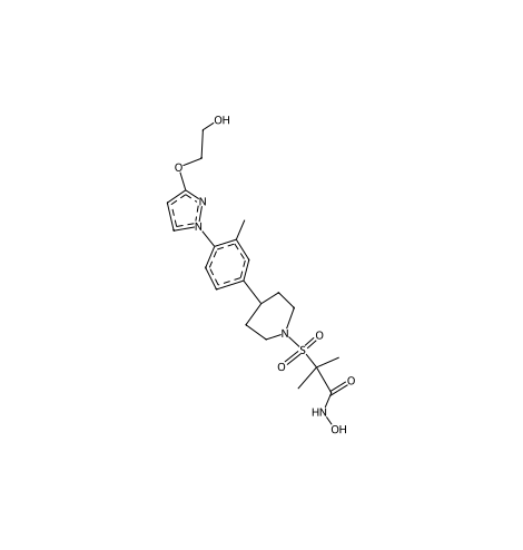 Cc1cc(C2CCN(S(=O)(=O)C(C)(C)C(=O)NO)CC2)ccc1-n1ccc(OCCO)n1